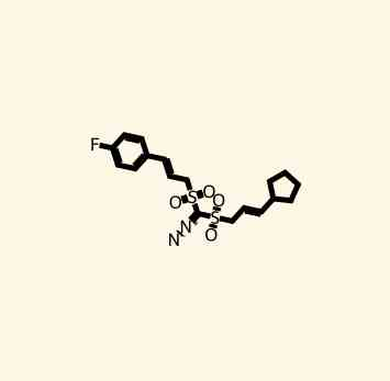 [N-]=[N+]=C(S(=O)(=O)CC=Cc1ccc(F)cc1)S(=O)(=O)CC=CC1CCCC1